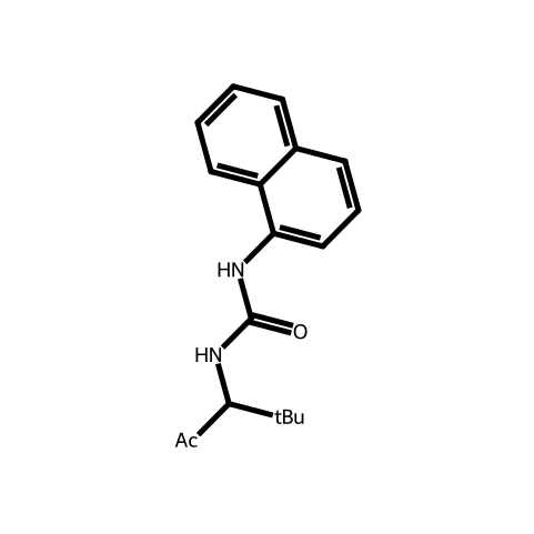 CC(=O)C(NC(=O)Nc1cccc2ccccc12)C(C)(C)C